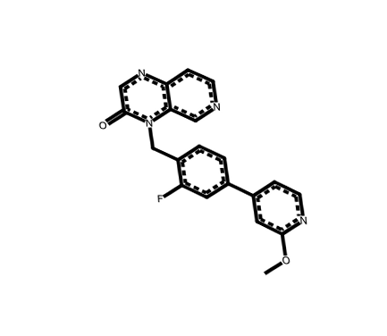 COc1cc(-c2ccc(Cn3c(=O)cnc4ccncc43)c(F)c2)ccn1